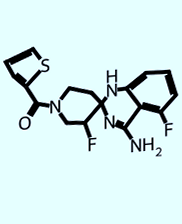 NC1=NC2(CCN(C(=O)c3cccs3)CC2F)Nc2cccc(F)c21